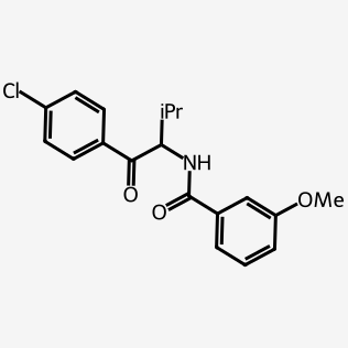 COc1cccc(C(=O)NC(C(=O)c2ccc(Cl)cc2)C(C)C)c1